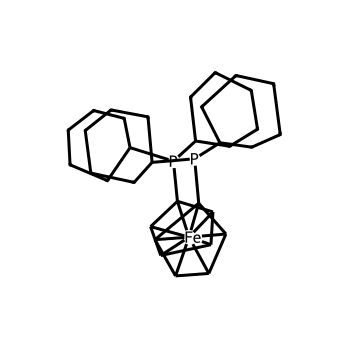 C1CCC(P(C2CCCCC2)[C]23[CH]4[CH]5[CH]6[CH]2[Fe]56432789[CH]3[CH]2[CH]7[C]8(P(C2CCCCC2)C2CCCCC2)[CH]39)CC1